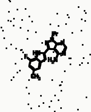 Cc1cc(F)c2[nH]c(-c3nn(C(C)C)c4ncnc(N)c34)cc2c1